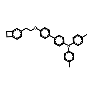 Cc1ccc(N(c2ccc(C)cc2)c2ccc(-c3ccc(OCCc4ccc5c(c4)CC5)cc3)cc2)cc1